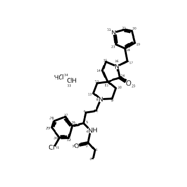 CCC(=O)NC(CCN1CCC2(CC1)CCN(Cc1cccnc1)C2=O)c1cccc(Cl)c1.Cl.Cl